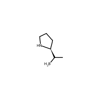 BC(C)[C@@H]1CCCN1